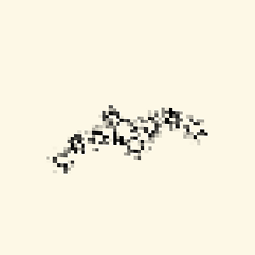 c1ccc(-c2nnc(-c3ccc(/C4=N/c5cccnc5/C(c5ccc(-c6nnc(-c7ccccc7)o6)cc5)=N\c5cccnc54)cc3)o2)cc1